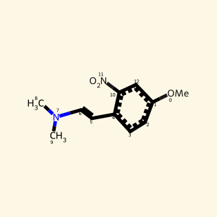 COc1ccc(/C=C/N(C)C)c([N+](=O)[O-])c1